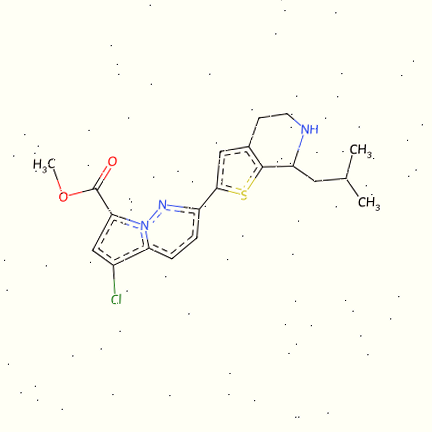 COC(=O)c1cc(Cl)c2ccc(-c3cc4c(s3)C(CC(C)C)NCC4)nn12